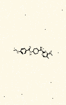 CCOc1ccc(C(=O)NC2CCC(Nc3ncc(C)c(N(C)C)n3)CC2)cc1